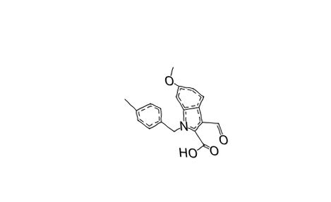 COc1ccc2c(C=O)c(C(=O)O)n(Cc3ccc(C)cc3)c2c1